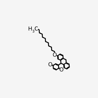 CCCCCCCCCCCCOc1ccc2c(c1)C(C1=CC(=O)C=CC1=O)c1ccccc1C2